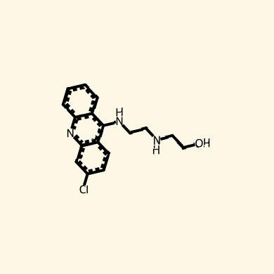 OCCNCCNc1c2ccccc2nc2cc(Cl)ccc12